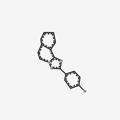 Brc1ccc(-c2nc3c4ccccc4ccn3n2)cc1